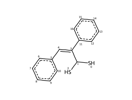 SC(S)C(=Cc1ccccc1)c1ccccc1